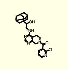 O=C(c1cccnc1Cl)N1CCc2c(ncnc2NCC(O)C23CC4CC(CC(C4)C2)C3)C1